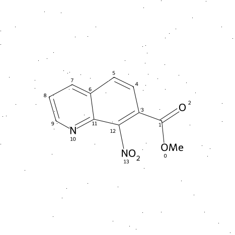 COC(=O)c1ccc2cccnc2c1[N+](=O)[O-]